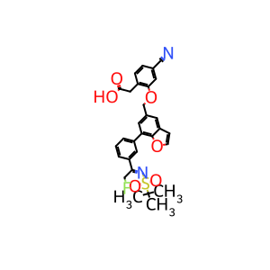 CC(C)(C)S(=O)(=O)N=C(CF)c1cccc(-c2cc(COc3cc(C#N)ccc3CC(=O)O)cc3ccoc23)c1